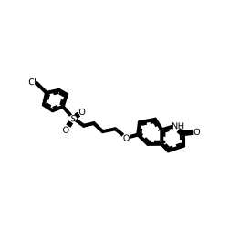 O=c1ccc2cc(OCCCCS(=O)(=O)c3ccc(Cl)cc3)ccc2[nH]1